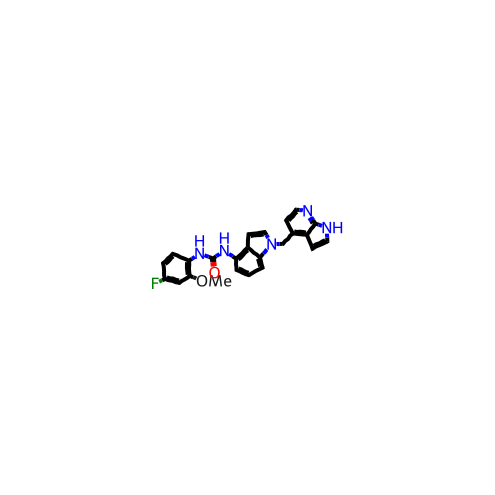 COc1cc(F)ccc1NC(=O)Nc1cccc2c1ccn2Cc1ccnc2[nH]ccc12